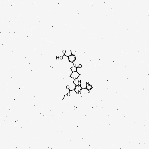 CCOC(=O)C1=C(CN2CCC3C(=O)N(c4ccc(C)c(C(=O)O)c4)CC3C2)NC(c2nccs2)=NC1